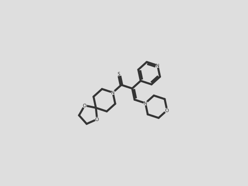 S=C(C(=CN1CCOCC1)c1ccncc1)N1CCC2(CC1)OCCO2